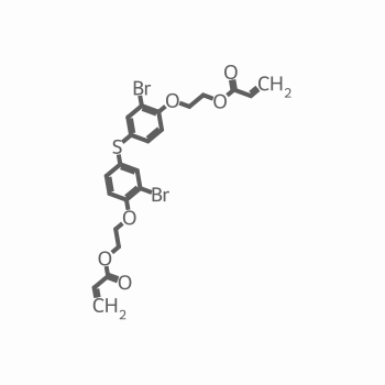 C=CC(=O)OCCOc1ccc(Sc2ccc(OCCOC(=O)C=C)c(Br)c2)cc1Br